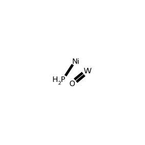 [O]=[W].[PH2][Ni]